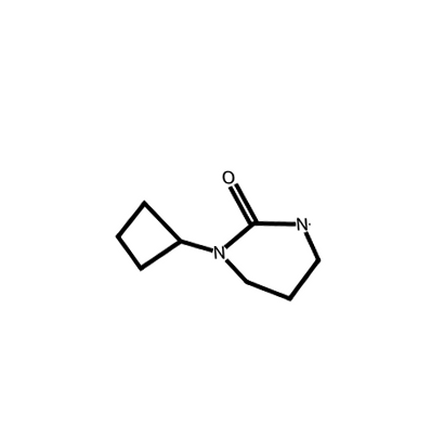 O=C1[N]CCCN1C1CCC1